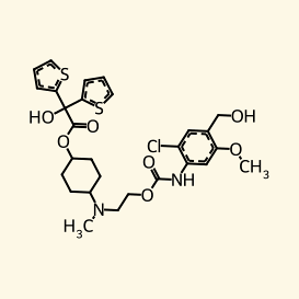 COc1cc(NC(=O)OCCN(C)C2CCC(OC(=O)C(O)(c3cccs3)c3cccs3)CC2)c(Cl)cc1CO